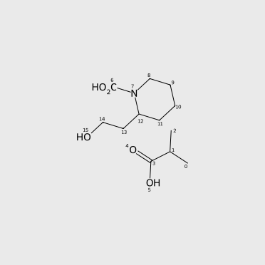 CC(C)C(=O)O.O=C(O)N1CCCCC1CCO